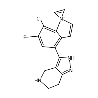 Fc1cc(-c2[nH]nc3c2CNCC3)c2c(c1Cl)[N+]1(C=C2)C=C1